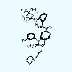 C=C(Nc1ccccc1NC(=O)c1ccc(CN(CCCN2CCOCC2)C(=C)Nc2cccc(F)c2)cn1)OC(C)(C)C